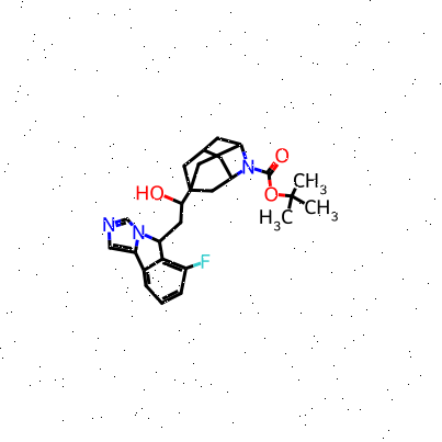 CC(C)(C)OC(=O)N1C2CC3CC1CC(C(O)CC1c4c(F)cccc4-c4cncn41)(C3)C2